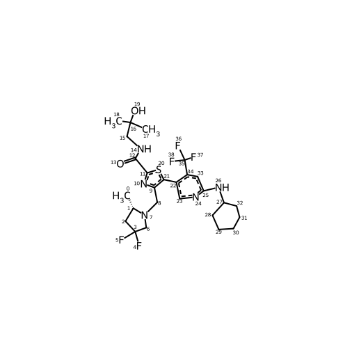 C[C@H]1CC(F)(F)CN1Cc1nc(C(=O)NCC(C)(C)O)sc1-c1cnc(NC2CCCCC2)cc1C(F)(F)F